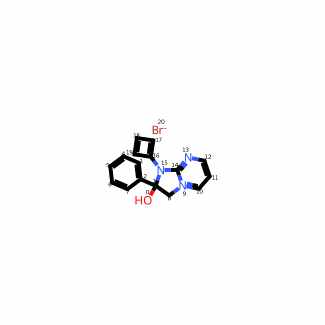 OC1(c2ccccc2)C[n+]2cccnc2N1C1=CC=C1.[Br-]